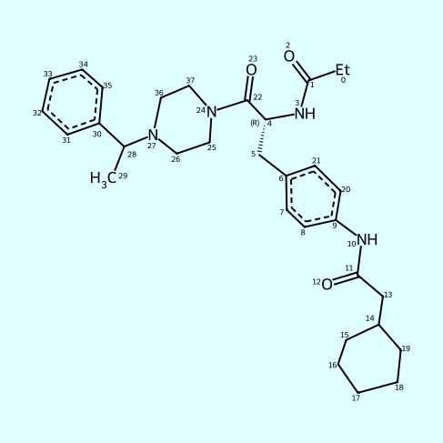 CCC(=O)N[C@H](Cc1ccc(NC(=O)CC2CCCCC2)cc1)C(=O)N1CCN(C(C)c2ccccc2)CC1